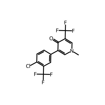 Cn1cc(-c2ccc(Cl)c(C(F)(F)F)c2)c(=O)c(C(F)(F)F)c1